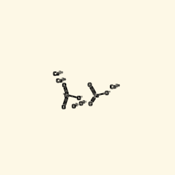 [Ca+2].[Ca+2].[Ca+2].[O-2].[O-2].[O]=[Ta](=[O])[O-].[O]=[Ta](=[O])[O-]